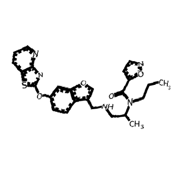 CCCN(C(=O)c1ccno1)C(C)CNCc1coc2cc(Oc3nc4ncccc4s3)ccc12